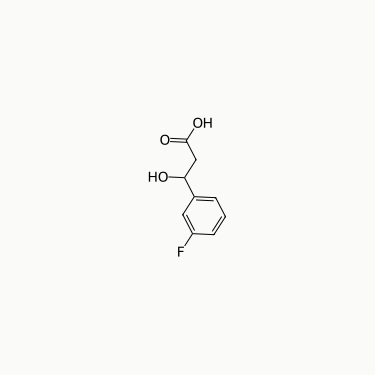 O=C(O)CC(O)c1cccc(F)c1